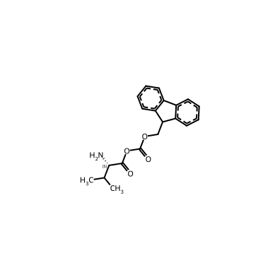 CC(C)[C@H](N)C(=O)OC(=O)OCC1c2ccccc2-c2ccccc21